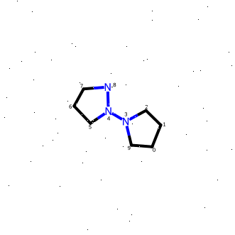 C1CCN(N2CCC[N]2)C1